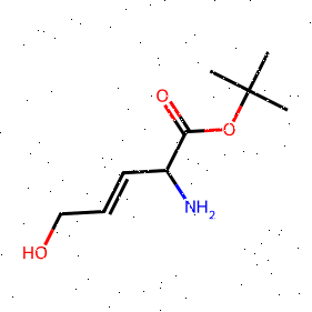 CC(C)(C)OC(=O)C(N)C=CCO